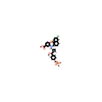 COC(=O)c1ccc2c(c1)N(C[C@@H]1CC[C@H]1[C@@H](OC)C1=CC[C@H](COS(C)(=O)=O)CC1)CC1(CCCc3cc(Cl)ccc31)CO2